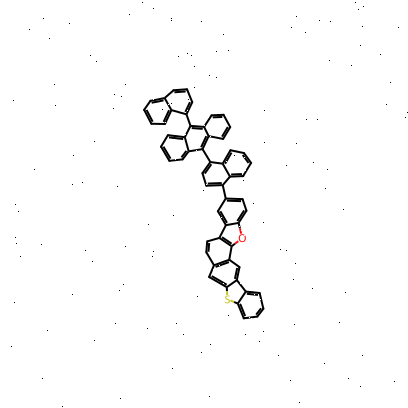 c1ccc2c(-c3c4ccccc4c(-c4ccc(-c5ccc6oc7c8cc9c(cc8ccc7c6c5)sc5ccccc59)c5ccccc45)c4ccccc34)cccc2c1